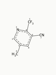 Cc1cnc(C(F)(F)F)c(C#N)c1